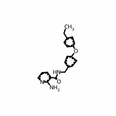 CCc1ccc(Oc2ccc(CNC(=O)c3cccnc3N)cc2)cc1